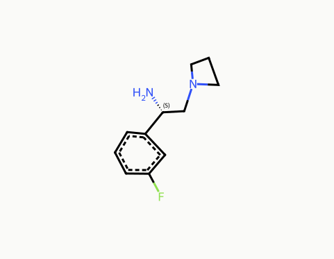 N[C@H](CN1CCC1)c1cccc(F)c1